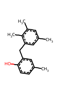 Cc1ccc(O)c(Cc2cc(C)cc(C)c2C)c1